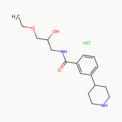 CCOCC(O)CNC(=O)c1cccc(C2CCNCC2)c1.Cl